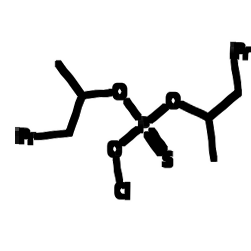 CC(C)CC(C)OP(=S)(OCl)OC(C)CC(C)C